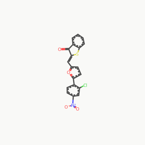 O=C1C(=Cc2ccc(-c3ccc([N+](=O)[O-])cc3Cl)o2)Sc2ccccc21